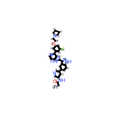 CC(C)CC(=O)Nc1cncc(-c2ccc3[nH]nc(-c4nc5c(-c6cc(F)cc(OCCN7CCCC7)c6)nccc5[nH]4)c3c2)c1